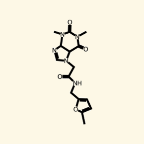 Cc1ccc(CNC(=O)CN2C=NC3C2C(=O)N(C)C(=O)N3C)o1